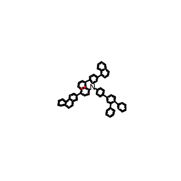 c1ccc(-c2ccc(-c3ccc(N(c4ccc(-c5ccc6c(ccc7ccccc76)c5)cc4)c4cc(-c5cccc6ccccc56)ccc4-c4ccccc4)cc3)cc2-c2ccccc2)cc1